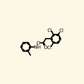 Cc1ccccc1NOC(=O)Cc1c(Cl)ccc(Cl)c1Cl